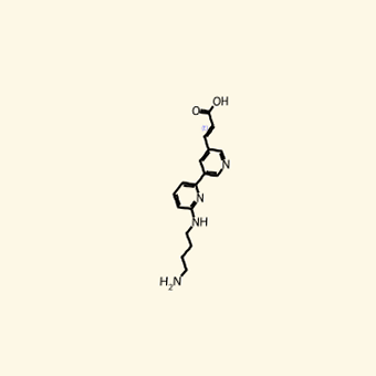 NCCCCNc1cccc(-c2cncc(/C=C/C(=O)O)c2)n1